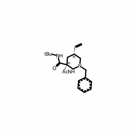 C=C[C@@H]1CN(Cc2ccccc2)C[C@@](NC(C)=O)(C(=O)NC(C)(C)C)C1